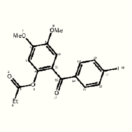 CCC(=O)Oc1cc(OC)c(OC)cc1C(=O)c1ccc(I)cc1